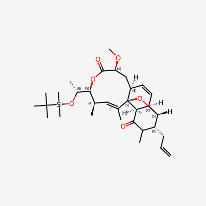 C=CC[C@@H]1C(C)C(=O)[C@@H]2[C@H]3C=C[C@@H]4C[C@H](OC)C(=O)O[C@H]([C@@H](C)O[Si](C)(C)C(C)(C)C)[C@H](C)/C=C(\C)[C@]42O[C@H]31